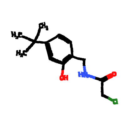 CC(C)(C)c1ccc(CNC(=O)CCl)c(O)c1